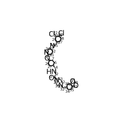 O=C(CNCc1ccc(Oc2ccc(N=Cc3ccc(Cl)c(Cl)c3)cn2)cc1)N1CCN(Cc2ccc3c(c2)OCO3)CC1